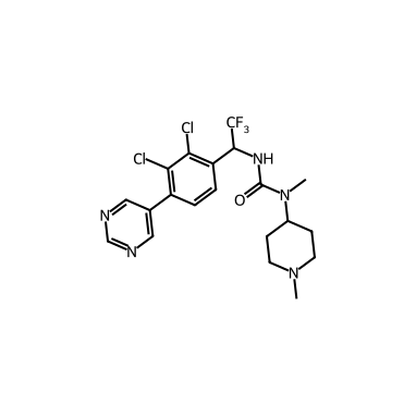 CN1CCC(N(C)C(=O)NC(c2ccc(-c3cncnc3)c(Cl)c2Cl)C(F)(F)F)CC1